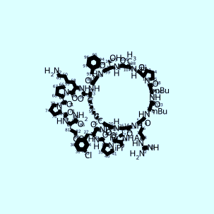 CCCC[C@@H]1NC(=O)[C@H](CCCNC(=N)N)NC(=O)[C@H](CC(C)C)NC(=O)C(NC(=O)[C@H](Cc2cccc(Cl)c2)NC(=O)[C@@H]2CCCN2C(=O)[C@@H](NC(C)=O)C(C)C)CCSSC[C@@H](C(=O)NC(CCCCN)C(=O)N2CCC[C@H]2C(=O)N2CCC[C@H]2C(=O)N[C@@H](CCC(=O)O)C(N)=O)NC(=O)[C@H](Cc2ccccc2)NC(=O)[C@H](CO)NC(=O)C(C)NC(=O)[C@@H]2CCCN2C(=O)[C@H](CCCC)NC1=O